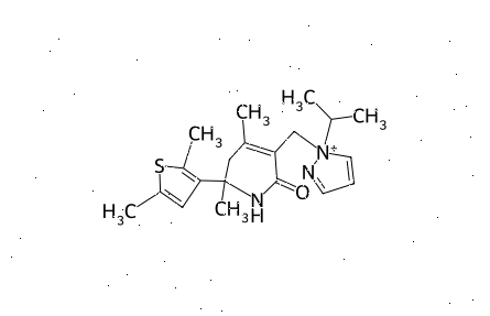 CC1=C(C[N+]2(C(C)C)C=CC=N2)C(=O)NC(C)(c2cc(C)sc2C)C1